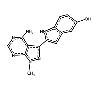 Cn1nc(-c2cc3cc(O)ccc3[nH]2)c2c(N)ncnc21